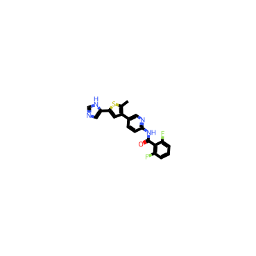 Cc1sc(-c2cnc[nH]2)cc1-c1ccc(NC(=O)c2c(F)cccc2F)nc1